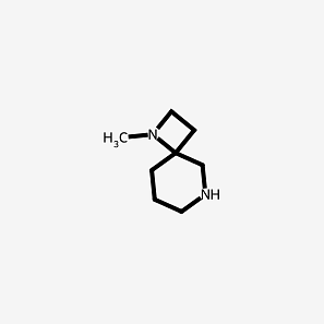 CN1CCC12CCCNC2